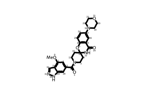 COc1cc(C(=O)N2CCC3(CC2)NC(=O)c2cc(N4CCOCC4)ccc2O3)cc2[nH]ncc12